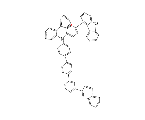 c1ccc(-c2ccccc2N(c2ccc(-c3ccc(-c4cccc(-c5ccc6ccccc6c5)c4)cc3)cc2)c2ccc(-c3cccc4oc5ccccc5c34)cc2)cc1